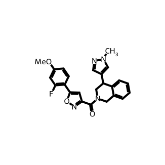 COc1ccc(-c2cc(C(=O)N3Cc4ccccc4C(c4cnn(C)c4)C3)no2)c(F)c1